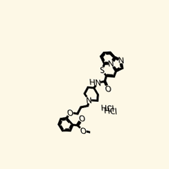 COC(=O)c1ccccc1OCCCN1CCC(NC(=O)C2=Cc3cnc4cccc(n34)S2)CC1.Cl.Cl